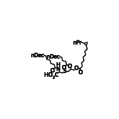 CCCCCCCCCCCCCCCC(=O)NC(CSCC(COC(=O)CCCCCCCC1CC1CCC)OC(=O)CCCCCCCCCCCCC)C(=O)O